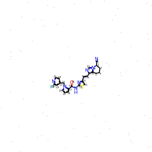 N#CC1CCCc2c(/C=C/c3csc(NC(=O)c4cccn4Cc4ccnc(F)c4)n3)ncn21